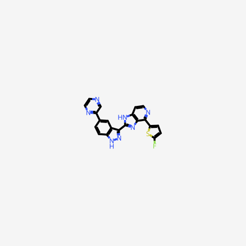 Fc1ccc(-c2nccc3[nH]c(-c4n[nH]c5ccc(-c6cnccn6)cc45)nc23)s1